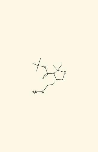 CC(C)(C)OC(=O)N1[C@@H](CCON)COC1(C)C